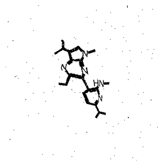 CCc1nc2c(C(C)C)cn(C)c2nc1-c1ccc(C(C)C)nc1NC